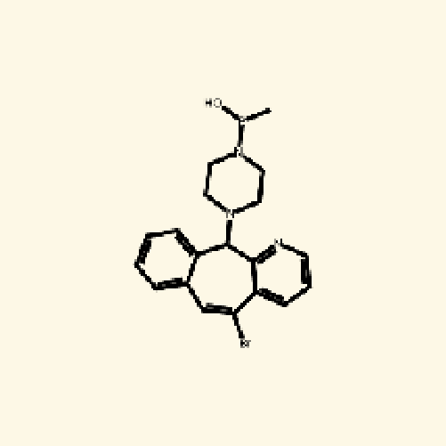 CB(O)N1CCN(C2c3ccccc3C=C(Br)c3cccnc32)CC1